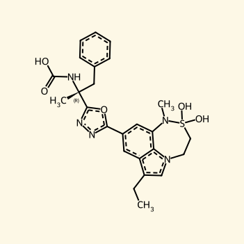 CCc1cn2c3c(cc(-c4nnc([C@@](C)(Cc5ccccc5)NC(=O)O)o4)cc13)N(C)S(O)(O)CC2